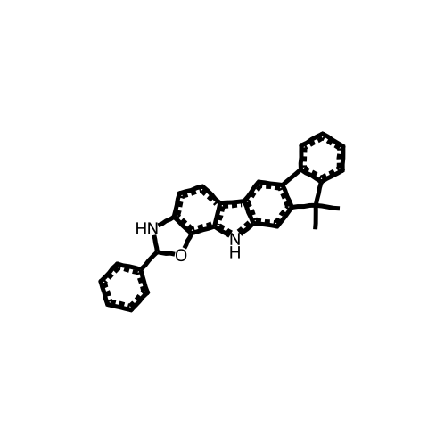 CC1(C)c2ccccc2-c2cc3c(cc21)[nH]c1c2c(ccc13)NC(c1ccccc1)O2